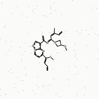 C=C/C=C(\SC)c1ccn2ncc(C(=C)/N=C(\C=C(\C)C=C)N3CC(OC)C3)c2n1